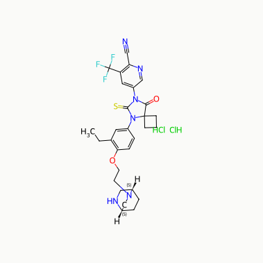 CCc1cc(N2C(=S)N(c3cnc(C#N)c(C(F)(F)F)c3)C(=O)C23CCC3)ccc1OCCN1C[C@@H]2CC[C@H]1CN2.Cl.Cl